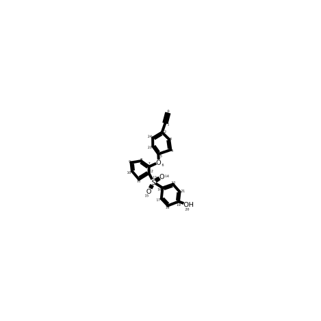 C#Cc1ccc(Oc2ccccc2S(=O)(=O)c2ccc(O)cc2)cc1